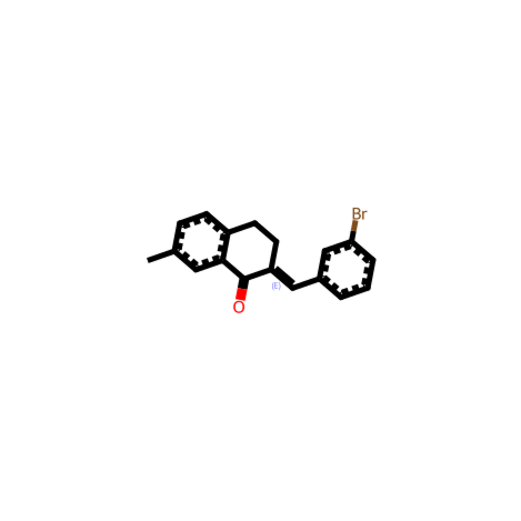 Cc1ccc2c(c1)C(=O)/C(=C/c1cccc(Br)c1)CC2